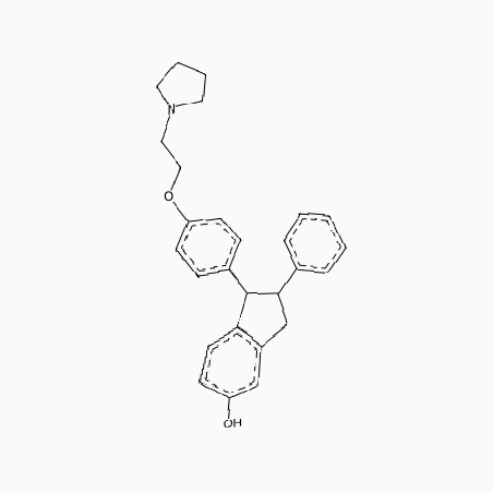 Oc1ccc2c(c1)CC(c1ccccc1)C2c1ccc(OCCN2CCCC2)cc1